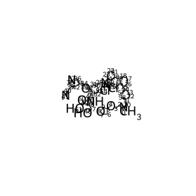 CN(CCO[C@H]1CCOC1)Cc1ccc(-c2cccc(-c3cccc4c3cnn4Cc3cc(OCc4cncc(C#N)c4)c(CN[C@@H](CO)C(=O)O)cc3Cl)c2Cl)cc1